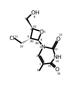 Cc1cn([C@@H]2O[C@H](CO)[C@H]2CCl)c(=O)[nH]c1=O